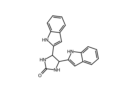 O=C1NC(c2cc3ccccc3[nH]2)C(c2cc3ccccc3[nH]2)N1